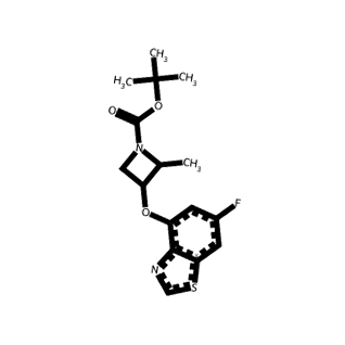 CC1C(Oc2cc(F)cc3scnc23)CN1C(=O)OC(C)(C)C